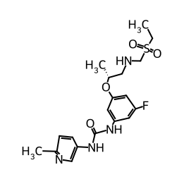 CCS(=O)(=O)CNC[C@@H](C)Oc1cc(F)cc(NC(=O)Nc2ccc(C)nc2)c1